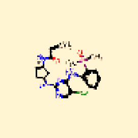 C=CC(=O)N[C@@H]1CCC(Nc2ncc(Cl)c(Nc3ccccc3P(C)(C)=O)n2)C1